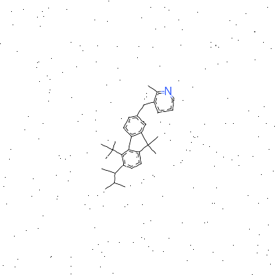 Cc1ncccc1Cc1ccc2c(c1)C(C)(C)c1ccc(C(C)C(C)C)c(C(C)(C)C)c1-2